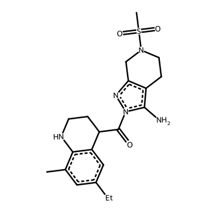 CCc1cc(C)c2c(c1)C(C(=O)n1nc3c(c1N)CCN(S(C)(=O)=O)C3)CCN2